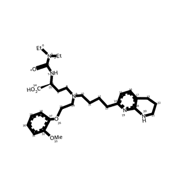 CCN(CC)C(=O)N[C@@H](CCN(CCCCc1ccc2c(n1)NCCC2)CCOc1ccccc1OC)C(=O)O